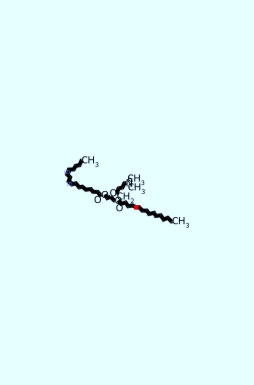 C=C(CCCN(C)C)OC(COC(=O)CCCCCCC/C=C\C/C=C\CCCCC)COC(=O)CCCCCCCCCCCCCCC